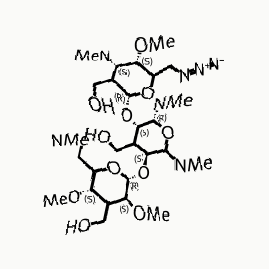 CNCC1O[C@H](O[C@@H]2C(NC)O[C@@H](NC)[C@@H](O[C@H]3OC(CN=[N+]=[N-])[C@@H](OC)[C@@H](NC)C3CO)C2CO)[C@@H](OC)C(CO)[C@@H]1OC